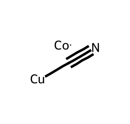 N#[C][Cu].[Co]